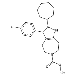 CC(C)(C)OC(=O)N1CCC2=C(CC1)C(c1ccc(Cl)cc1)N(C1CCCCCC1)N2